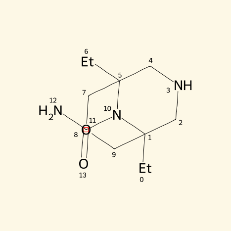 CCC12CNCC(CC)(COC1)N2C(N)=O